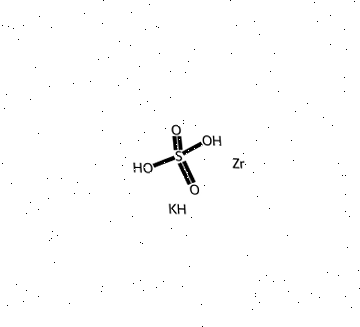 O=S(=O)(O)O.[KH].[Zr]